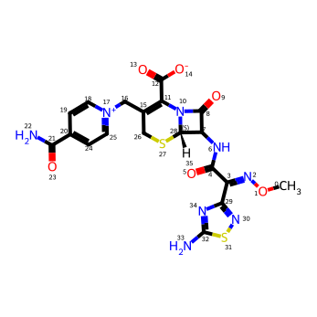 CON=C(C(=O)NC1C(=O)N2C(C(=O)[O-])=C(C[n+]3ccc(C(N)=O)cc3)CS[C@@H]12)c1nsc(N)n1